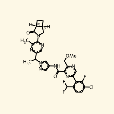 COCc1ncc(-c2c(C(F)F)ccc(Cl)c2F)nc1C(=O)Nc1cnn(C(C)c2cnc(N3C[C@H]4CC[C@H]4C3=O)c(C)n2)c1